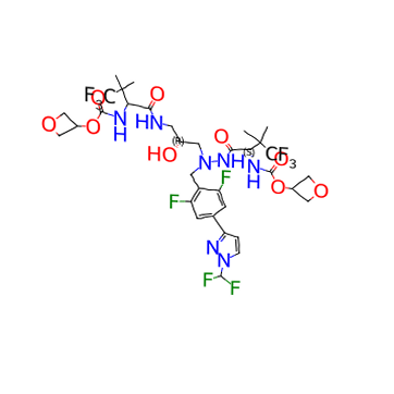 CC(C)(C(NC(=O)OC1COC1)C(=O)NC[C@@H](O)CN(Cc1c(F)cc(-c2ccn(C(F)F)n2)cc1F)NC(=O)[C@@H](NC(=O)OC1COC1)C(C)(C)C(F)(F)F)C(F)(F)F